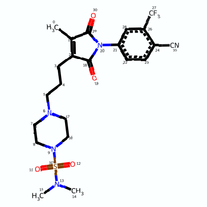 CC1=C(CCCN2CCN(S(=O)(=O)N(C)C)CC2)C(=O)N(c2ccc(C#N)c(C(F)(F)F)c2)C1=O